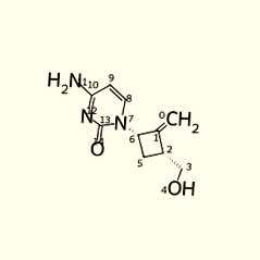 C=C1[C@H](CO)C[C@@H]1n1ccc(N)nc1=O